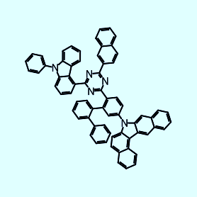 c1ccc(-c2ccccc2-c2cc(-n3c4cc5ccccc5cc4c4c5ccccc5ccc43)ccc2-c2nc(-c3ccc4ccccc4c3)nc(-c3cccc4c3c3ccccc3n4-c3ccccc3)n2)cc1